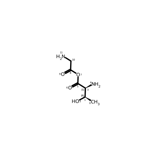 C[C@@H](O)[C@H](N)C(=O)OC(=O)CN